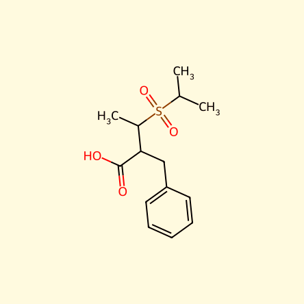 CC(C)S(=O)(=O)C(C)C(Cc1ccccc1)C(=O)O